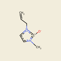 C=CCn1ccn(C)[c+]1[O-]